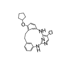 Clc1cnc2nc1Nc1ccc(OC3CCCC3)c(c1)CCc1cccc(c1)N2